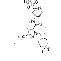 Cc1c(C(F)(F)F)nn(CC2CCC(F)(F)CC2)c1C(=O)Nc1ccnc(S(N)(=O)=O)c1